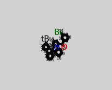 CC(C)(C)c1cc(C(=O)c2cccc(Br)c2)nc(C2(c3ccccc3)c3ccccc3-c3ccccc32)c1